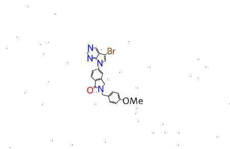 COc1ccc(CN2Cc3cc(-n4cc(Br)c5cncnc54)ccc3C2=O)cc1